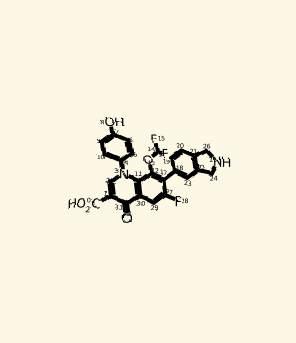 O=C(O)c1cn(-c2ccc(O)cc2)c2c(OC(F)F)c(-c3ccc4c(c3)CNC4)c(F)cc2c1=O